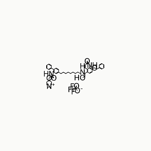 C[N+]1(C)CCC(OC(=O)Nc2cc(CCCCCCCCCNC(CO)c3ccc(OCc4ccccc4)c4[nH]c(=O)ccc34)ccc2-c2ccccc2)CC1.O=C([O-])C(F)(F)F